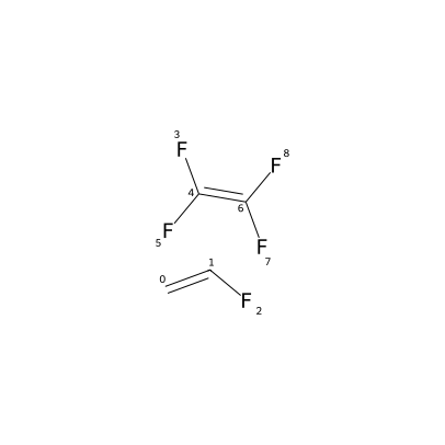 C=CF.FC(F)=C(F)F